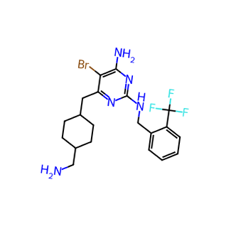 NCC1CCC(Cc2nc(NCc3ccccc3C(F)(F)F)nc(N)c2Br)CC1